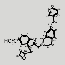 O=C(O)c1ccc2nc(CN3CCc4ccc(OCc5cccnc5)cc4C3)n(C[C@@H]3CCO3)c2c1